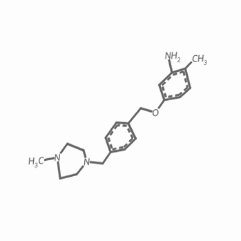 Cc1ccc(OCc2ccc(CN3CCN(C)CC3)cc2)cc1N